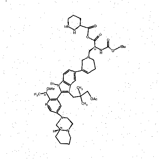 CCn1c(-c2cc(N3CCN4CCCC[C@@H]4C3)cnc2[C@H](C)OC)c(CC(C)(C)COC(C)=O)c2cc(C3=CCCN(C[C@H](NC(=O)OC(C)(C)C)C(=O)OC(=O)C4CCCNN4)C3)ccc21